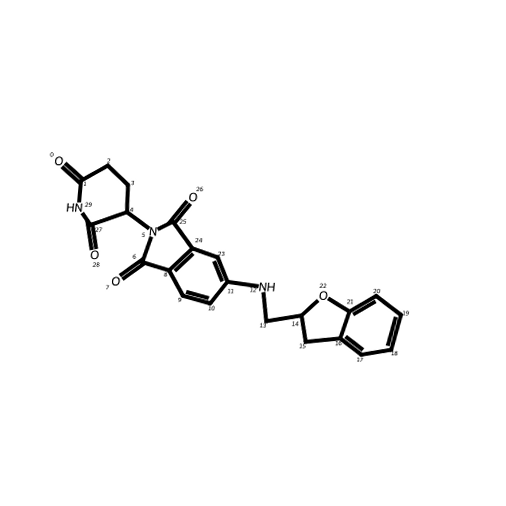 O=C1CCC(N2C(=O)c3ccc(NCC4Cc5ccccc5O4)cc3C2=O)C(=O)N1